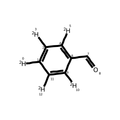 [2H]c1c([2H])c([2H])c(C=O)c([2H])c1[2H]